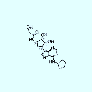 O=C(CO)N[C@H]1C[C@@H](n2cnc3c(NC4CCCC4)ncnc32)[C@H](O)[C@@H]1O